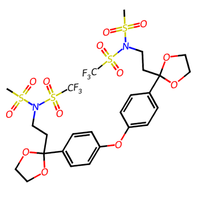 CS(=O)(=O)N(CCC1(c2ccc(Oc3ccc(C4(CCN(S(C)(=O)=O)S(=O)(=O)C(F)(F)F)OCCO4)cc3)cc2)OCCO1)S(=O)(=O)C(F)(F)F